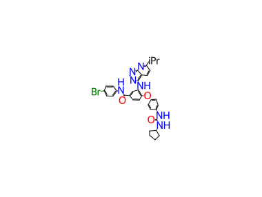 CC(C)c1ccc2c(Nc3cc(C(=O)Nc4ccc(Br)cc4)ccc3Oc3ccc(NC(=O)NC4CCCC4)cc3)ncnc2n1